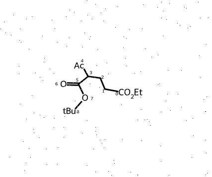 CCOC(=O)CCC(C(C)=O)C(=O)OC(C)(C)C